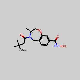 COC(C)(C)CC(=O)N1Cc2ccc(C(=O)NO)cc2OC[C@@H]1C